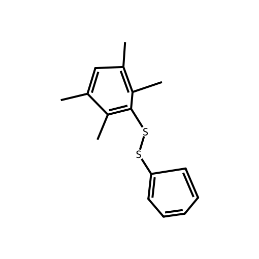 Cc1cc(C)c(C)c(SSc2ccccc2)c1C